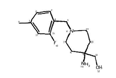 Cc1ccc(CN2CCC(N)(CO)CC2)c(F)c1